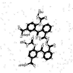 CCCCCCCC(=O)c1ccc(OC(=O)OC(C)(C)C)c(C(=O)c2ccccc2C(=O)OOC(=O)c2ccccc2C(=O)c2cc(C(=O)CCCCCCC)ccc2OC(=O)OC(C)(C)C)c1